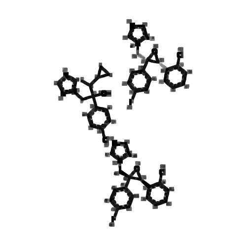 CC(C1CC1)C(O)(Cn1cncn1)c1ccc(Cl)cc1.Fc1ccc([C@@]2(Cn3cncn3)O[C@@H]2c2ccccc2Cl)cc1.Fc1ccc([C@]2(Cn3cncn3)O[C@H]2c2ccccc2Cl)cc1